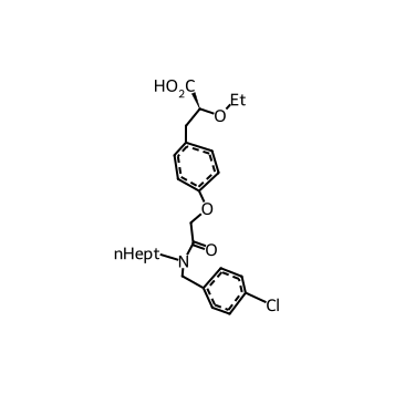 CCCCCCCN(Cc1ccc(Cl)cc1)C(=O)COc1ccc(C[C@H](OCC)C(=O)O)cc1